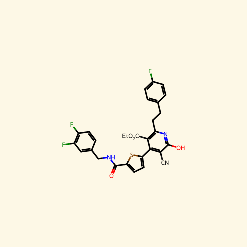 CCOC(=O)c1c(CCc2ccc(F)cc2)nc(O)c(C#N)c1-c1ccc(C(=O)NCc2ccc(F)c(F)c2)s1